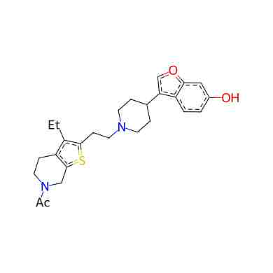 CCc1c(CCN2CCC(c3coc4cc(O)ccc34)CC2)sc2c1CCN(C(C)=O)C2